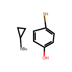 CCCCC1CC1.Oc1ccc(S)cc1